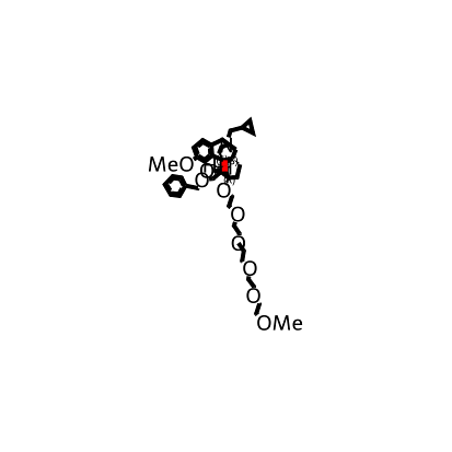 COCCOCCOCCOCCOCCO[C@]12CC[C@@]3(C[C@@H]1COCc1ccccc1)C1Cc4ccc(OC)c5c4[C@@]3(CCN1CC1CC1)[C@H]2O5